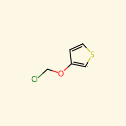 ClCOc1[c]scc1